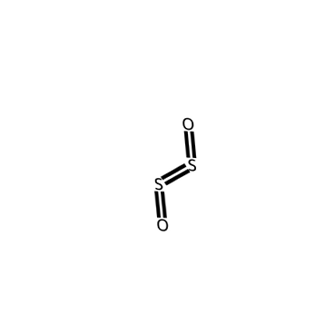 O=S=S=O